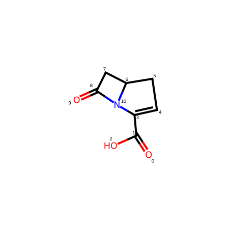 O=C(O)C1=CCC2CC(=O)N12